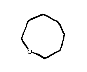 C1CCCOCCC1